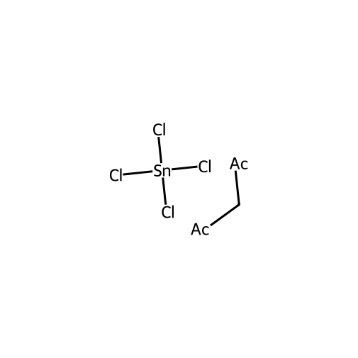 CC(=O)CC(C)=O.[Cl][Sn]([Cl])([Cl])[Cl]